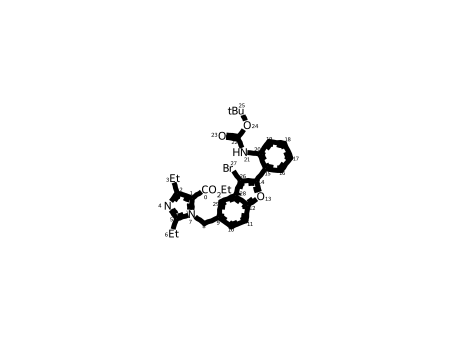 CCOC(=O)c1c(CC)nc(CC)n1Cc1ccc2oc(-c3ccccc3NC(=O)OC(C)(C)C)c(Br)c2c1